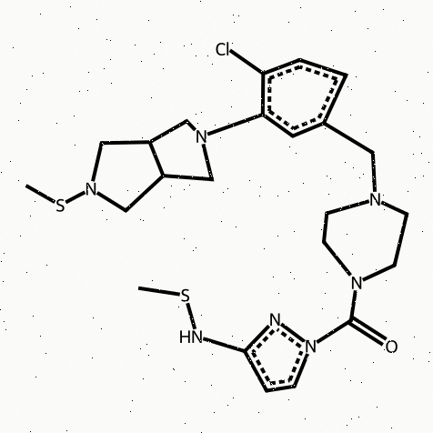 CSNc1ccn(C(=O)N2CCN(Cc3ccc(Cl)c(N4CC5CN(SC)CC5C4)c3)CC2)n1